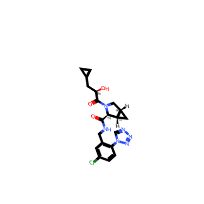 O=C(NCc1cc(Cl)ccc1-n1cnnn1)[C@@H]1[C@H]2C[C@H]2CN1C(=O)[C@H](O)CC1CC1